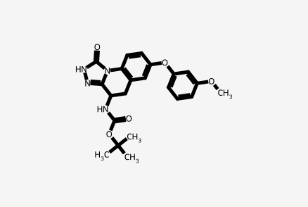 COc1cccc(Oc2ccc3c(c2)CC(NC(=O)OC(C)(C)C)c2n[nH]c(=O)n2-3)c1